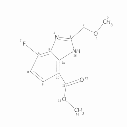 COCc1nc2c(F)ccc(C(=O)OC)c2[nH]1